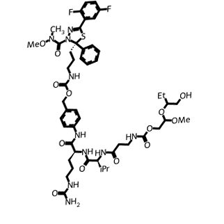 CCC(CO)OC(COC(=O)NCCC(=O)N[C@H](C(=O)N[C@@H](CCCNC(N)=O)C(=O)Nc1ccc(COC(=O)NCCC[C@@]2(c3ccccc3)SC(c3cc(F)ccc3F)=NN2C(=O)N(C)OC)cc1)C(C)C)OC